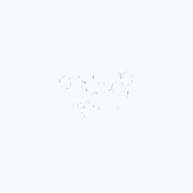 CCCCCCCCCCCC(=O)N[C@@H](CCCCC)C(=O)N[C@@H](Cc1ccccc1)C(=O)COC(=O)c1c(C(F)(F)F)cccc1C(F)(F)F